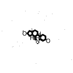 COC1C[C@H]2[C@@H]3CN(C)C4=CC(=O)CC[C@]4(C)[C@@H]3CC[C@]2(C)C1